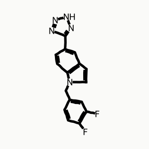 Fc1ccc(Cn2ccc3cc(-c4nn[nH]n4)ccc32)cc1F